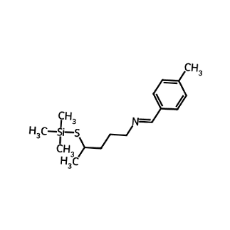 Cc1ccc(C=NCCCC(C)S[Si](C)(C)C)cc1